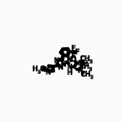 CNC(=O)[C@@H](CN(C)C)Nc1nc2c(C(F)(F)F)cccc2c2nc(-c3cnn(C)c3)nn12